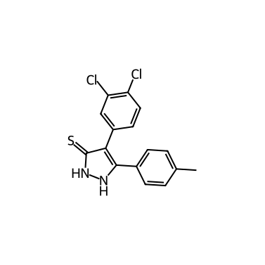 Cc1ccc(-c2[nH][nH]c(=S)c2-c2ccc(Cl)c(Cl)c2)cc1